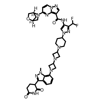 Cn1nc(C2CCC(=O)NC2=O)c2cccc(N3CC(N4CC(N5CCC(n6cc(NC(=O)c7cnn8ccc(N9C[C@H]%10C[C@@H]9CO%10)nc78)c(C(F)F)n6)CC5)C4)C3)c21